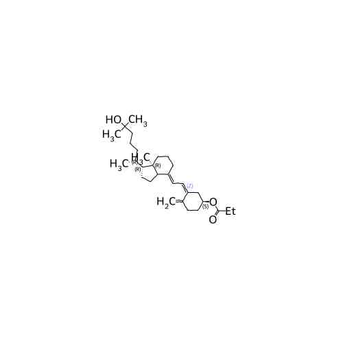 C=C1CC[C@H](OC(=O)CC)C/C1=C/C=C1CCC[C@@]2(C)C1CC[C@@H]2[C@H](C)CCCC(C)(C)O